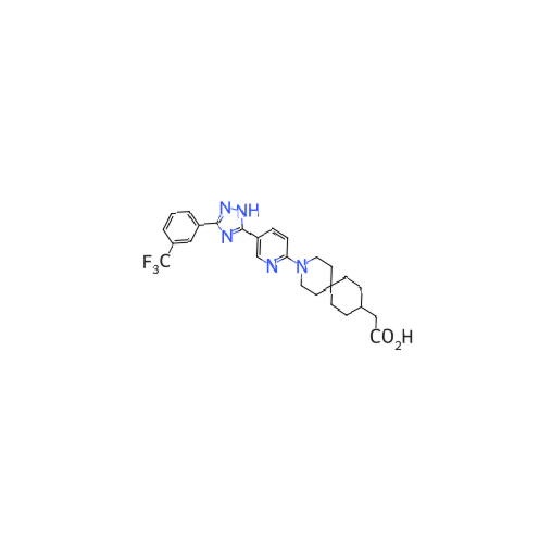 O=C(O)CC1CCC2(CC1)CCN(c1ccc(-c3nc(-c4cccc(C(F)(F)F)c4)n[nH]3)cn1)CC2